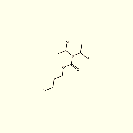 CC(S)N(C(=O)OCCCCl)C(C)S